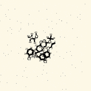 C=CCOc1ccc(I)cc1[C@H]1N(CC(=O)OC(C)(C)C)C(=O)C[C@@H](c2cccc(Cl)c2)[C@]12C(=O)Nc1cc(Cl)ccc12.COC(C)[Si](C)(C)C